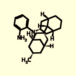 C[C@@H]1C[C@@H]2C[C@H](C1)C[C@@H]([C@H]1[C@@H]3CCC[C@H]1C[C@@H](Nc1ccccc1N)C3)C2